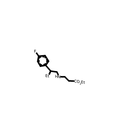 CCOC(=O)CCNCC(CC)c1ccc(F)cc1